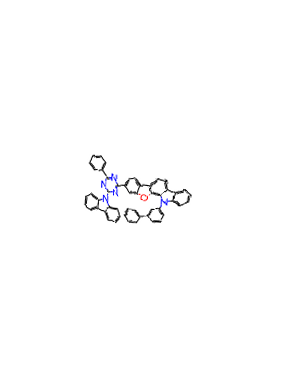 c1ccc(-c2cccc(-n3c4ccccc4c4ccc5c6ccc(-c7nc(-c8ccccc8)nc(-n8c9ccccc9c9ccccc98)n7)cc6oc5c43)c2)cc1